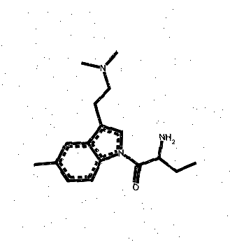 CCC(N)C(=O)n1cc(CCN(C)C)c2cc(C)ccc21